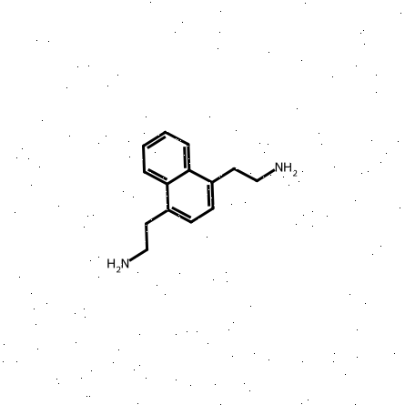 NCCc1ccc(CCN)c2ccccc12